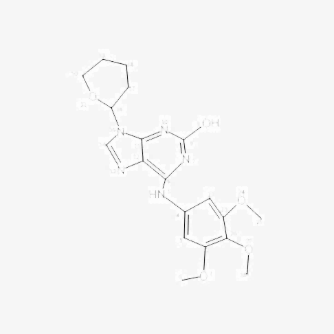 COc1cc(Nc2nc(O)nc3c2ncn3C2CCCCO2)cc(OC)c1OC